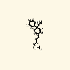 CCCCCC1=CCC(C#N)(c2ccccc2)C=C1